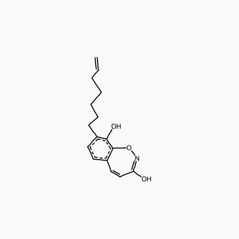 C=CCCCCCc1ccc2c(c1O)ON=C(O)C=C2